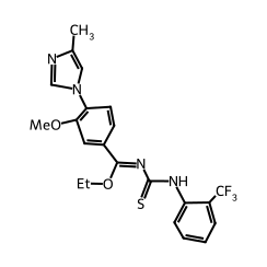 CCO/C(=N\C(=S)Nc1ccccc1C(F)(F)F)c1ccc(-n2cnc(C)c2)c(OC)c1